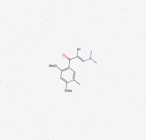 COc1cc(OC)c(C(=O)C(=CN(C)C)C(C)=O)cc1C